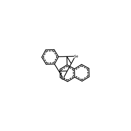 c1ccc2c(c1)C1[Se]C1C1[Se]C21c1cccc2ccccc12